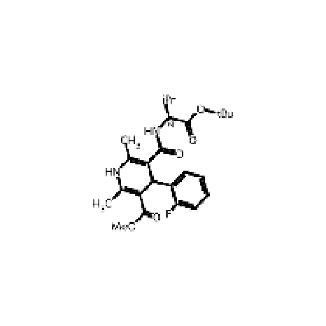 COC(=O)C1=C(C)NC(C)=C(C(=O)N[C@H](C(=O)OC(C)(C)C)C(C)C)C1c1ccccc1F